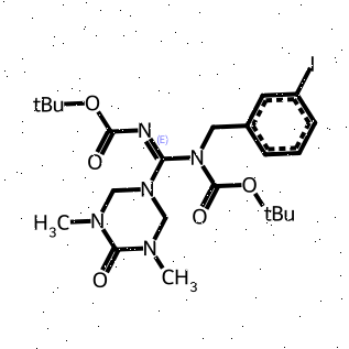 CN1CN(/C(=N\C(=O)OC(C)(C)C)N(Cc2cccc(I)c2)C(=O)OC(C)(C)C)CN(C)C1=O